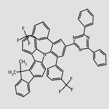 CC1(C)c2ccccc2-c2ccc3c(c21)c1ccccc1n3-c1c(-c2cccc(C(F)(F)F)c2)cc(-c2nc(-c3ccccc3)nc(-c3ccccc3)n2)cc1-c1cccc(C(F)(F)F)c1